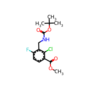 COC(=O)c1ccc(F)c(CNC(=O)OC(C)(C)C)c1Cl